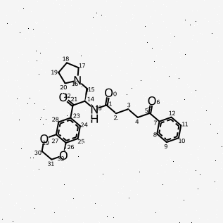 O=C(CCCC(=O)c1ccccc1)N[C@H](CN1CCCC1)C(=O)c1ccc2c(c1)OCCO2